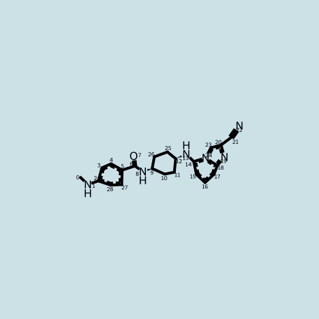 CNc1ccc(C(=O)N[C@H]2CC[C@@H](Nc3cccc4nc(C#N)cn34)CC2)cc1